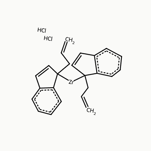 C=CC[C]1([Zr][C]2(CC=C)C=Cc3ccccc32)C=Cc2ccccc21.Cl.Cl